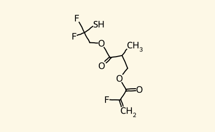 C=C(F)C(=O)OCC(C)C(=O)OCC(F)(F)S